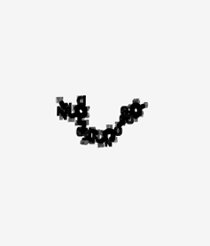 Cc1ccc(S(=O)(=O)OCCOc2ccc(CN3CCN(C(=O)/C=C/c4ccc(Cl)cc4Cn4nnc(C)n4)[C@H](C)C3)nc2)cc1